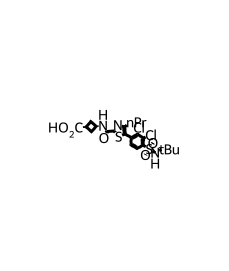 CCCc1nc(C(=O)N[C@H]2C[C@H](C(=O)O)C2)sc1-c1ccc(S(=O)(=O)NC(C)(C)C)c(Cl)c1Cl